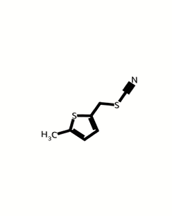 Cc1ccc(CSC#N)s1